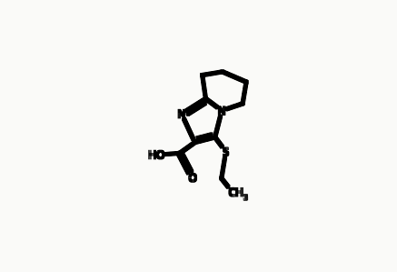 CCSc1c(C(=O)O)nc2n1CCCC2